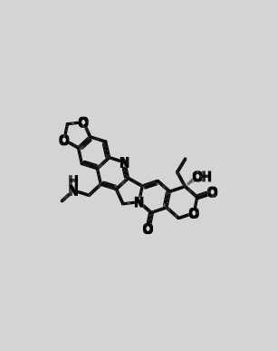 CC[C@@]1(O)C(=O)OCc2c1cc1n(c2=O)Cc2c-1nc1cc3c(cc1c2CNC)OCO3